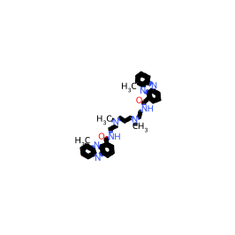 Cc1cccc2nc3cccc(C(=O)NCCN(C)CCCN(C)CCNC(=O)c4cccc5nc6cccc(C)c6nc45)c3nc12